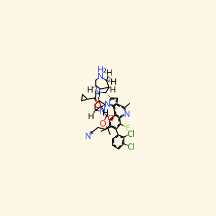 [2H]C1([2H])NC[C@H]2C[C@@H]1[C@H](c1cc3c(C)nc4c(F)c(-c5cccc(Cl)c5Cl)c(CCC#N)cc4c3n1[C@H]1[C@@H]3C[C@H]1N(C(=O)OC(C)(C)C)C3)N2C(=O)C1CC1